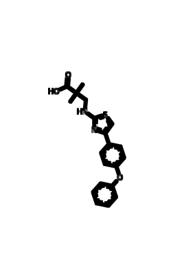 CC(C)(CNc1nc(-c2ccc(Oc3ccccc3)cc2)cs1)C(=O)O